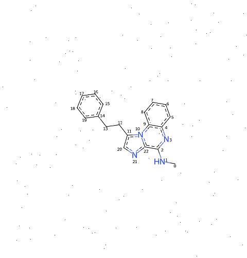 CNc1nc2ccccc2n2c(CCc3ccccc3)cnc12